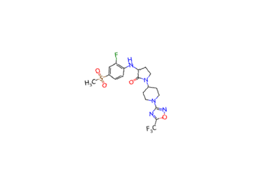 CS(=O)(=O)c1ccc(NC2CCN(C3CCN(c4noc(C(F)(F)F)n4)CC3)C2=O)c(F)c1